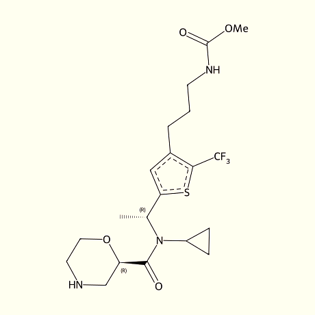 COC(=O)NCCCc1cc([C@@H](C)N(C(=O)[C@H]2CNCCO2)C2CC2)sc1C(F)(F)F